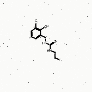 O=C(NCCF)NCc1cccc(Cl)c1Cl